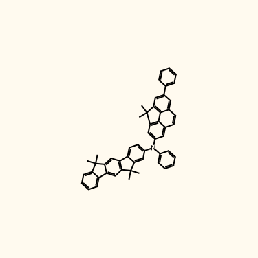 CC1(C)c2ccccc2-c2cc3c(cc21)-c1ccc(N(c2ccccc2)c2cc4c5c(ccc6cc(-c7ccccc7)cc(c65)C4(C)C)c2)cc1C3(C)C